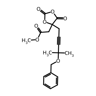 COC(=O)CC1(CC#CC(C)(C)OCc2ccccc2)OC(=O)OC1=O